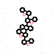 c1ccc2c(c1)oc1c(-c3ccc(-c4c5ccccc5c(-c5ccc(-c6cccc7oc8ccccc8c67)c6oc7ccccc7c56)c5ccccc45)c4oc5ccccc5c34)cccc12